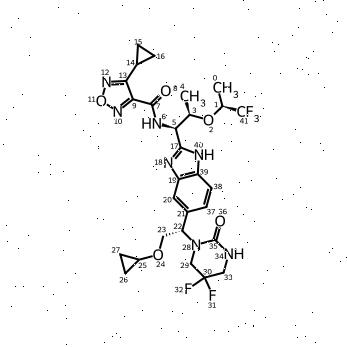 C[C@H](O[C@H](C)[C@H](NC(=O)c1nonc1C1CC1)c1nc2cc([C@@H](COC3CC3)N3CC(F)(F)CNC3=O)ccc2[nH]1)C(F)(F)F